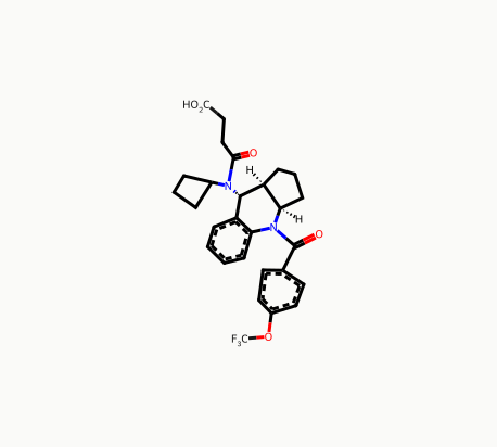 O=C(O)CCC(=O)N(C1CCC1)[C@H]1c2ccccc2N(C(=O)c2ccc(OC(F)(F)F)cc2)[C@@H]2CCC[C@@H]21